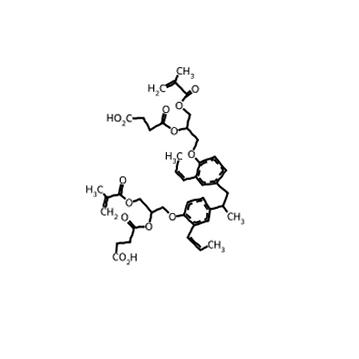 C=C(C)C(=O)OCC(COc1ccc(CC(C)c2ccc(OCC(COC(=O)C(=C)C)OC(=O)CCC(=O)O)c(/C=C\C)c2)cc1/C=C\C)OC(=O)CCC(=O)O